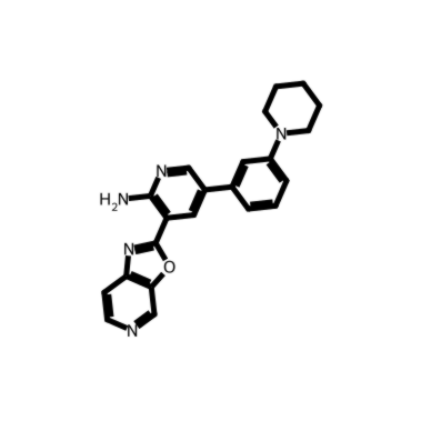 Nc1ncc(-c2cccc(N3CCCCC3)c2)cc1-c1nc2ccncc2o1